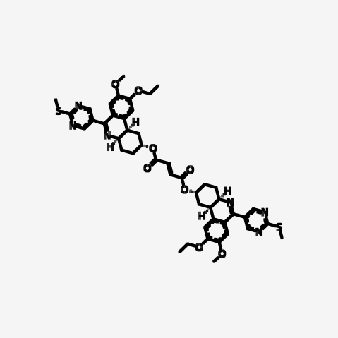 CCOc1cc2c(cc1OC)C(c1cnc(SC)nc1)=N[C@@H]1CC[C@@H](OC(=O)/C=C/C(=O)O[C@@H]3CC[C@H]4N=C(c5cnc(SC)nc5)c5cc(OC)c(OCC)cc5[C@H]4C3)C[C@H]21